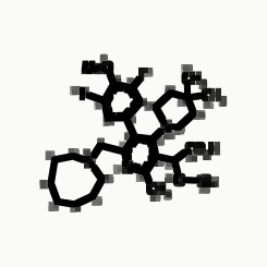 COc1c(F)cc(-c2c(CN3CCCCCCC3)nc(C)c(C(OC(C)(C)C)C(=O)O)c2N2CCC(C)(C)CC2)cc1F